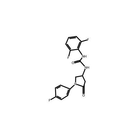 O=C(Nc1c(F)cccc1F)NC1CC(=O)N(c2ccc(F)cc2)C1